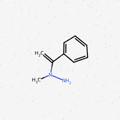 C=C(c1ccccc1)N(C)N